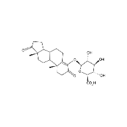 C[C@]12CCC(=O)C(O[C@@H]3O[C@H](C(=O)O)[C@@H](O)[C@H](O)[C@H]3O)=C1CCC1C2CC[C@]2(C)C(=O)CCC12